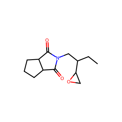 CCC(CN1C(=O)C2CCCC2C1=O)C1CO1